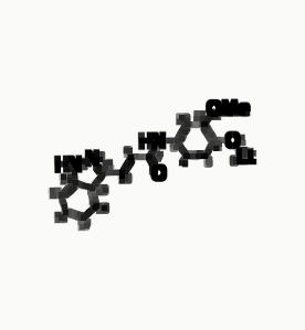 CCOc1ccc(NC(=O)/C=C/c2n[nH]c3ccccc23)cc1OC